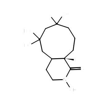 CN1CCC2CC(C)(C)CC(C)(S)CCC[C@@H]2C1=S